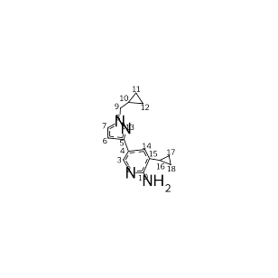 Nc1ncc(-c2ccn(CC3CC3)n2)cc1C1CC1